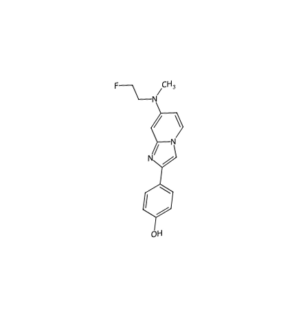 CN(CCF)c1ccn2cc(-c3ccc(O)cc3)nc2c1